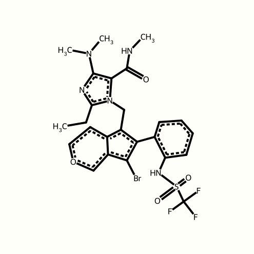 CCc1nc(N(C)C)c(C(=O)NC)n1Cc1c2ccocc-2c(Br)c1-c1ccccc1NS(=O)(=O)C(F)(F)F